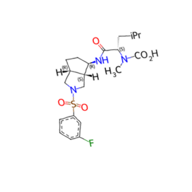 CC(C)C[C@@H](C(=O)N[C@@H]1CC[C@H]2CN(S(=O)(=O)c3cccc(F)c3)C[C@H]21)N(C)C(=O)O